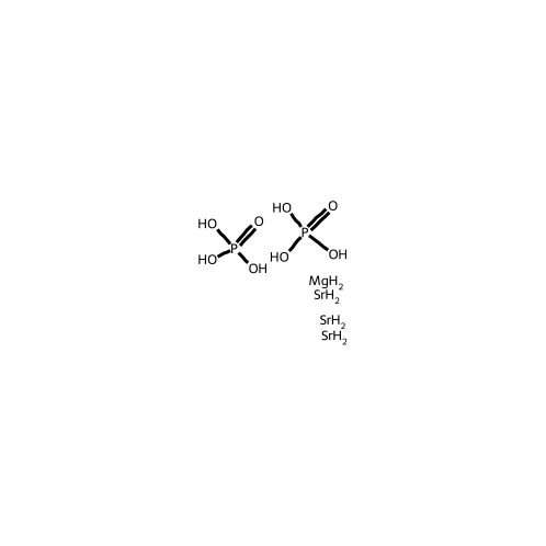 O=P(O)(O)O.O=P(O)(O)O.[MgH2].[SrH2].[SrH2].[SrH2]